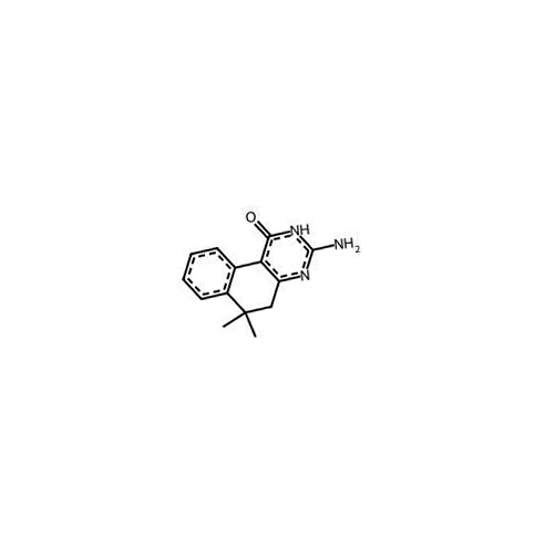 CC1(C)Cc2nc(N)[nH]c(=O)c2-c2ccccc21